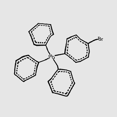 Brc1cc[c]([Pb]([c]2ccccc2)([c]2ccccc2)[c]2ccccc2)cc1